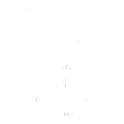 CC(C)[C@@H](C=O)NC(=O)C1(NC(=O)C=Cc2ccco2)CCCCC1